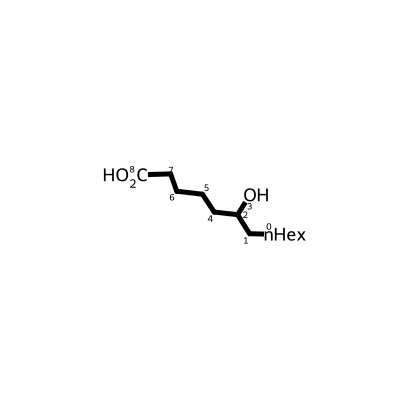 CCCCCCCC(O)CCCCC(=O)O